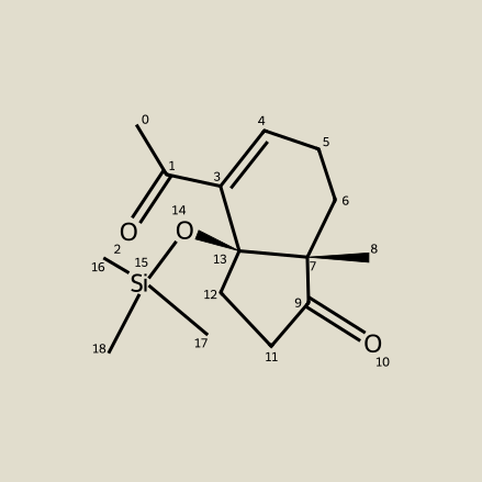 CC(=O)C1=CCC[C@]2(C)C(=O)CC[C@]12O[Si](C)(C)C